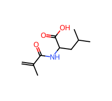 C=C(C)C(=O)NC(CC(C)C)C(=O)O